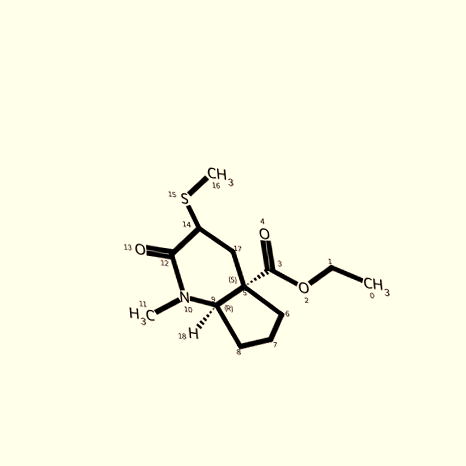 CCOC(=O)[C@]12CCC[C@H]1N(C)C(=O)C(SC)C2